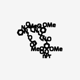 CCCC(=O)Oc1c(OC)cc(C(=O)N2CCC(CCN3CCC(C(=O)c4nc5ccccc5n4CCOCc4ccco4)CC3)(c3ccc(OC)c(OC)c3)C2)cc1OC